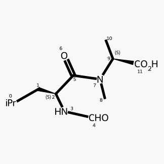 CC(C)C[C@H](NC=O)C(=O)N(C)[C@@H](C)C(=O)O